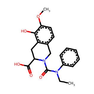 CCN(C(=O)N1Cc2ccc(OC)c(O)c2CC1C(=O)O)c1ccccc1